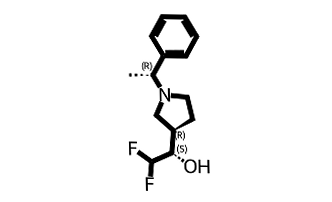 C[C@H](c1ccccc1)N1CC[C@@H]([C@H](O)C(F)F)C1